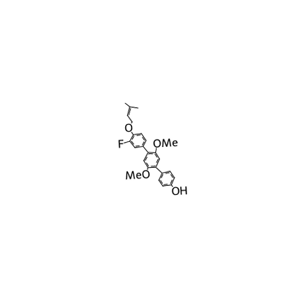 COc1cc(-c2ccc(OCC=C(C)C)c(F)c2)c(OC)cc1-c1ccc(O)cc1